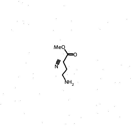 C#N.COC(=O)CCCN